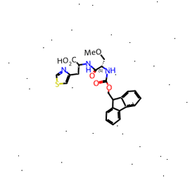 COC[C@H](NC(=O)OCC1c2ccccc2-c2ccccc21)C(=O)NC(Cc1cscn1)C(=O)O